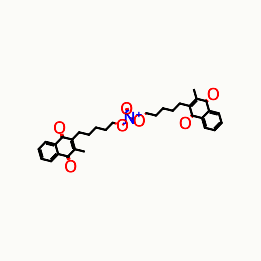 CC1=C(CCCCCO[N+](=O)OCCCCCC2=C(C)C(=O)c3ccccc3C2=O)C(=O)c2ccccc2C1=O